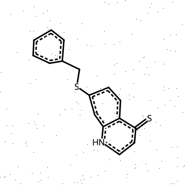 S=c1cc[nH]c2cc(SCc3ccccc3)ccc12